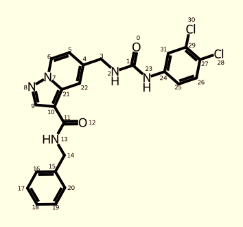 O=C(NCc1ccn2ncc(C(=O)NCc3ccccc3)c2c1)Nc1ccc(Cl)c(Cl)c1